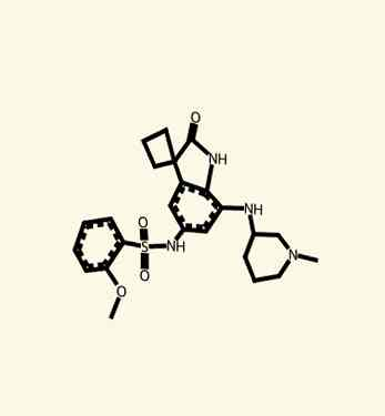 COc1ccccc1S(=O)(=O)Nc1cc(NC2CCCN(C)C2)c2c(c1)C1(CCC1)C(=O)N2